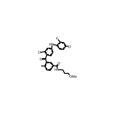 COCCCNC(=O)c1ccc(C)c(C(=O)c2ccc(Nc3ccc(Cl)cc3F)cc2Cl)c1